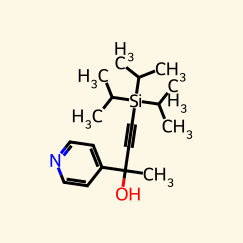 CC(C)[Si](C#CC(C)(O)c1ccncc1)(C(C)C)C(C)C